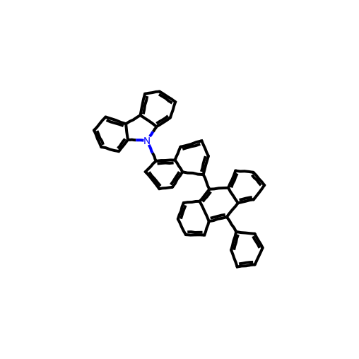 c1ccc(-c2c3ccccc3c(-c3cccc4c(-n5c6ccccc6c6ccccc65)cccc34)c3ccccc23)cc1